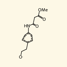 COC(=O)CC(=O)Nc1ccc(CC[O])cc1